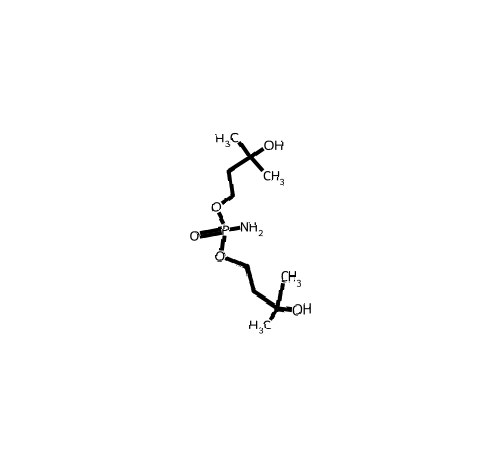 CC(C)(O)CCOP(N)(=O)OCCC(C)(C)O